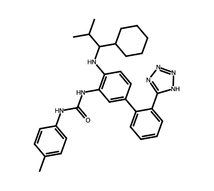 Cc1ccc(NC(=O)Nc2cc(-c3ccccc3-c3nnn[nH]3)ccc2NC(C(C)C)C2CCCCC2)cc1